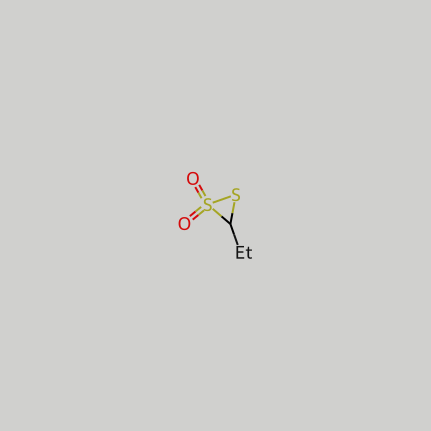 CCC1SS1(=O)=O